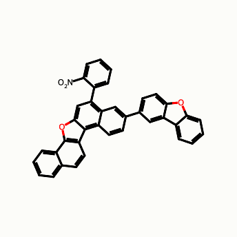 O=[N+]([O-])c1ccccc1-c1cc2oc3c4ccccc4ccc3c2c2ccc(-c3ccc4oc5ccccc5c4c3)cc12